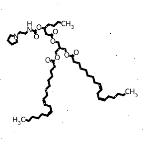 CCCCC/C=C\C/C=C\CCCCCCCC(=O)OCC(COC(=O)CCCCCCC/C=C\C/C=C\CCCCC)COC(=O)CC(CCCC)OC(=O)NCCN1CCCC1